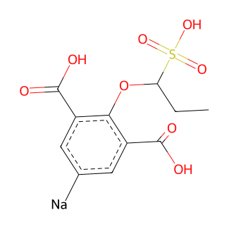 CCC(Oc1c(C(=O)O)c[c]([Na])cc1C(=O)O)S(=O)(=O)O